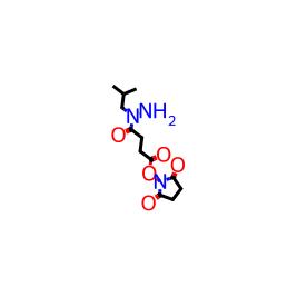 CC(C)CN(N)C(=O)CCC(=O)ON1C(=O)CCC1=O